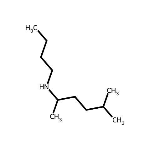 CCCCNC(C)CCC(C)C